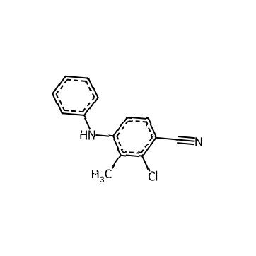 Cc1c(Nc2ccccc2)ccc(C#N)c1Cl